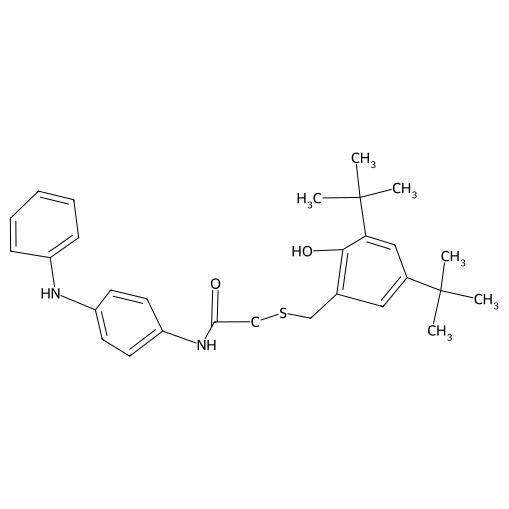 CC(C)(C)c1cc(CSCC(=O)Nc2ccc(Nc3ccccc3)cc2)c(O)c(C(C)(C)C)c1